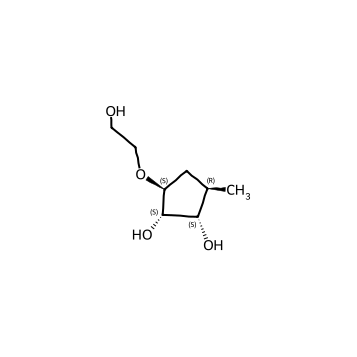 C[C@@H]1C[C@H](OCCO)[C@@H](O)[C@H]1O